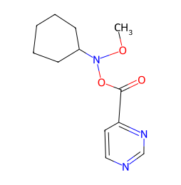 CON(OC(=O)c1ccncn1)C1CCCCC1